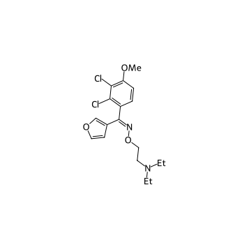 CCN(CC)CCON=C(c1ccoc1)c1ccc(OC)c(Cl)c1Cl